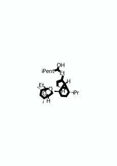 CC1=CC[C@@]23[C@@H]([C@@H]12)[C@H](C(C)C)CC[C@H]3C.CCCC(C)C(O)CC.CC[C@@]12OC[C@@H](O1)[C@H](C)C[C@@H]2C